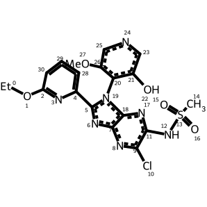 CCOC1=NC(c2nc3nc(Cl)c(NS(C)(=O)=O)nc3n2-c2c(O)cncc2OC)=C=C=C1